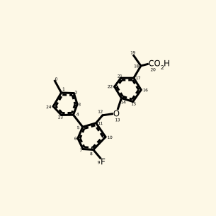 Cc1ccc(-c2ccc(F)cc2COc2ccc(C(C)C(=O)O)cc2)cc1